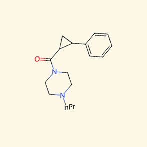 CCCN1CCN(C(=O)C2CC2c2ccccc2)CC1